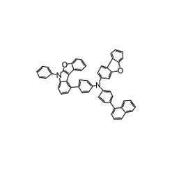 c1ccc(-n2c3cccc(-c4ccc(N(c5ccc(-c6cccc7ccccc67)cc5)c5ccc6c(c5)oc5ccccc56)cc4)c3c3c4ccccc4oc32)cc1